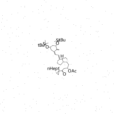 C=C1C(=CC=C2CCC[C@]3(C)[C@@H]([C@H](C)C(CC(=O)C4(CCCCCCC)CC4)OC(C)=O)CC[C@@H]23)CC(O[Si](C)(C)C(C)(C)C)CC1O[Si](C)(C)C(C)(C)C